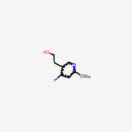 COc1cc(I)c(CCO)cn1